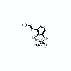 CC=Cc1cccc(NS(N)(=O)=O)c1C#N